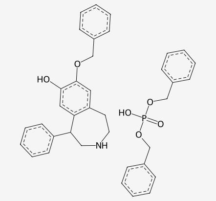 O=P(O)(OCc1ccccc1)OCc1ccccc1.Oc1cc2c(cc1OCc1ccccc1)CCNCC2c1ccccc1